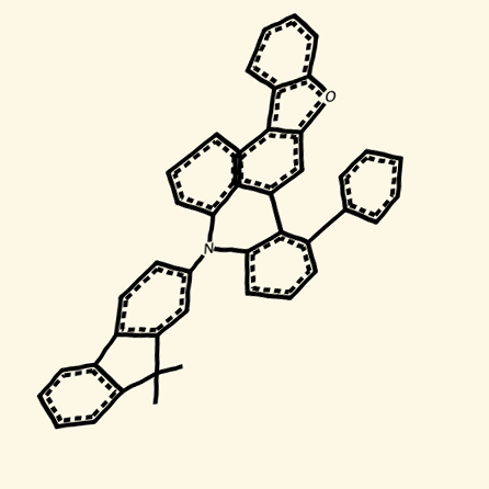 CC1(C)c2ccccc2-c2ccc(N(c3ccccc3)c3cccc(-c4ccccc4)c3-c3ccc4c(c3)oc3ccccc34)cc21